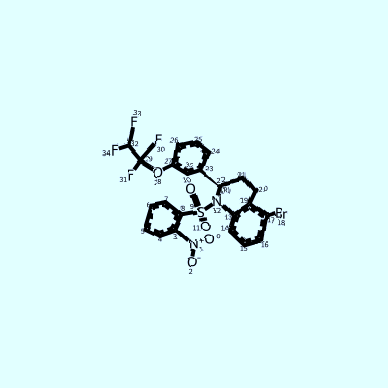 O=[N+]([O-])c1ccccc1S(=O)(=O)N1c2cccc(Br)c2CC[C@@H]1c1cccc(OC(F)(F)C(F)F)c1